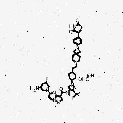 N[C@@H]1C[C@@H](F)CN(c2ccn3ncc(C(=O)Nc4cn(C5CCC(CCN6CCC7(CC6)CN(c6ccc(C8CCC(=O)NC8=O)cc6)C7)CC5)nc4C(F)F)c3n2)C1.O=CO